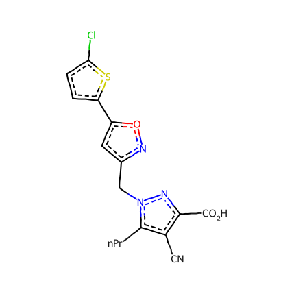 CCCc1c(C#N)c(C(=O)O)nn1Cc1cc(-c2ccc(Cl)s2)on1